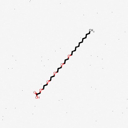 CCCCCCCCCCCCOCCCOCCCOCCCOCCCOCC(=O)O